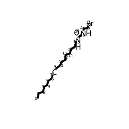 CCCCCCCCCCCCCCCCCCNC(=O)NCCBr